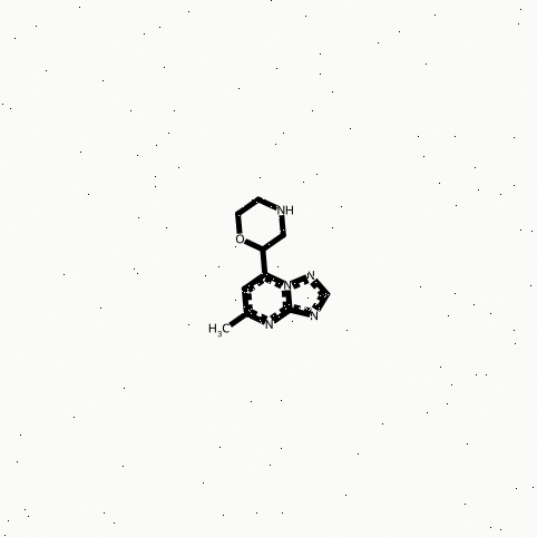 Cc1cc(C2CNCCO2)n2ncnc2n1